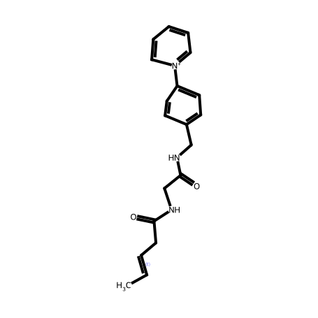 C/C=C/CC(=O)NCC(=O)NCc1ccc(-[n+]2ccccc2)cc1